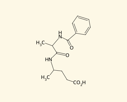 CC(CCC(=O)O)NC(=O)C(C)NC(=O)c1ccccc1